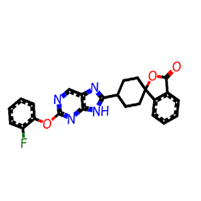 O=C1OC2(CCC(c3nc4cnc(Oc5ccccc5F)nc4[nH]3)CC2)c2ccccc21